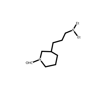 CCN(CC)CCCC1CCCN([C]=O)C1